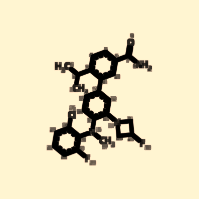 CC(C)c1ccc(C(N)=O)cc1-c1ccc(N(C)c2c(F)cccc2Cl)c(N2CC(F)C2)c1